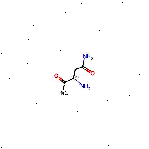 NC(=O)C[C@H](N)C(=O)N=O